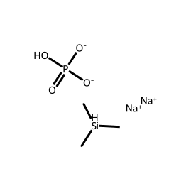 C[SiH](C)C.O=P([O-])([O-])O.[Na+].[Na+]